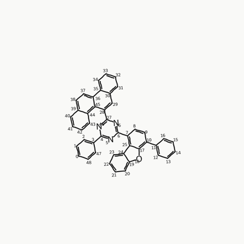 c1ccc(-c2nc(-c3ccc(-c4ccccc4)c4oc5ccccc5c34)nc(-c3cc4ccccc4c4ccc5ccccc5c34)n2)cc1